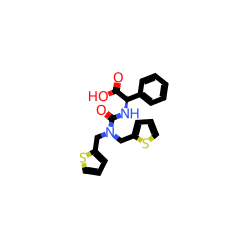 O=C(O)[C@H](NC(=O)N(Cc1cccs1)Cc1cccs1)c1ccccc1